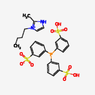 CCCC[n+]1cc[nH]c1C.O=S(=O)([O-])c1cccc(P(c2cccc(S(=O)(=O)O)c2)c2cccc(S(=O)(=O)O)c2)c1